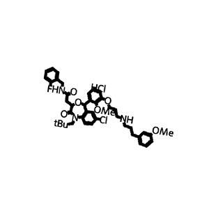 COc1cccc(CCCNCCCOc2cccc(C3OC(CC(=O)NCc4ccccc4F)C(=O)N(CC(C)(C)C)c4ccc(Cl)cc43)c2OC)c1.Cl